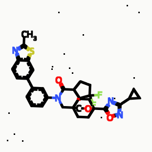 Cc1nc2ccc(-c3cccc(N(CC45CCC(c6nc(C7CC7)no6)(CC4)OC5)C(=O)C4CCC(F)(F)C4)c3)cc2s1